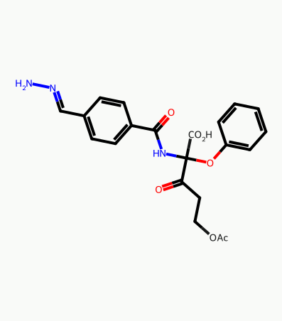 CC(=O)OCCC(=O)C(NC(=O)c1ccc(C=NN)cc1)(Oc1ccccc1)C(=O)O